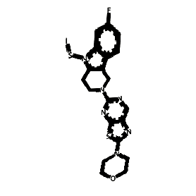 Fc1ccc2c3c(n(SI)c2c1)CCN(c1ncc2nc(N4CCOCC4)sc2n1)C3